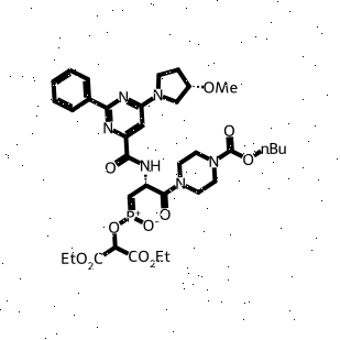 CCCCOC(=O)N1CCN(C(=O)[C@H](/C=[P+](\[O-])OC(C(=O)OCC)C(=O)OCC)NC(=O)c2cc(N3CC[C@H](OC)C3)nc(-c3ccccc3)n2)CC1